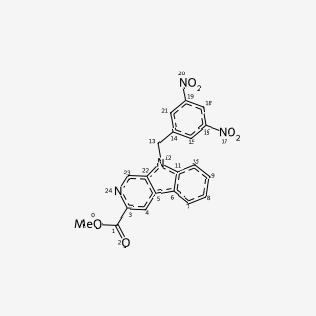 COC(=O)c1cc2c3ccccc3n(Cc3cc([N+](=O)[O-])cc([N+](=O)[O-])c3)c2cn1